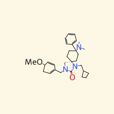 COC1C=CC(CN2C[C@]3(CC[C@](c4ccccc4)(N(C)C)CC3)N(CC3CCC3)C2=O)=CC1